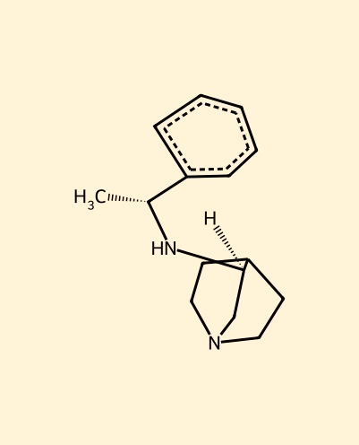 C[C@@H](N[C@@H]1CN2CCC1CC2)c1ccccc1